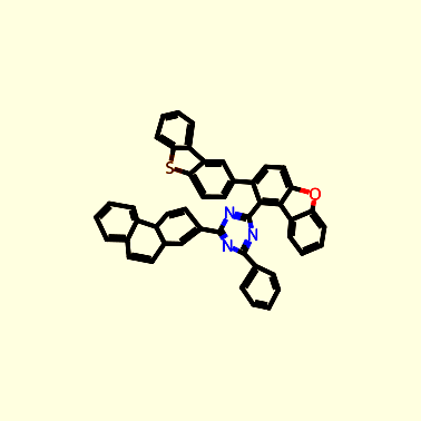 C1=CC2c3ccccc3C=CC2C=C1c1nc(-c2ccccc2)nc(-c2c(-c3ccc4sc5ccccc5c4c3)ccc3oc4ccccc4c23)n1